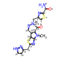 CN(Cc1csc(C(N)=O)n1)/N=C\c1c(C=O)n(C)c2nc(Cc3cc[nH]n3)sc12